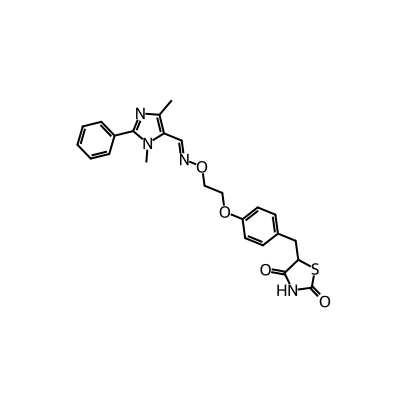 Cc1nc(-c2ccccc2)n(C)c1C=NOCCOc1ccc(CC2SC(=O)NC2=O)cc1